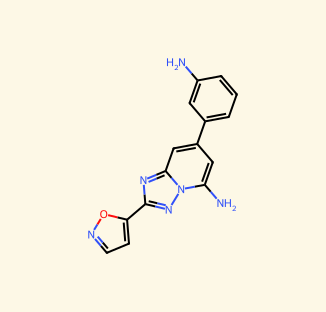 Nc1cccc(-c2cc(N)n3nc(-c4ccno4)nc3c2)c1